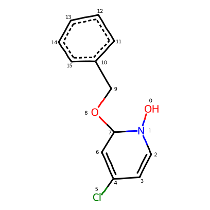 ON1C=CC(Cl)=CC1OCc1ccccc1